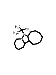 CC(C)(C)N1C2CCCCCCCC2C2CCCCCN21